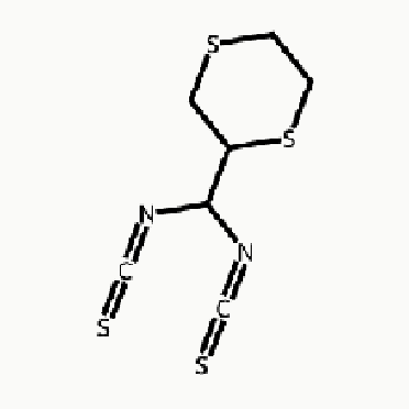 S=C=NC(N=C=S)C1CSCCS1